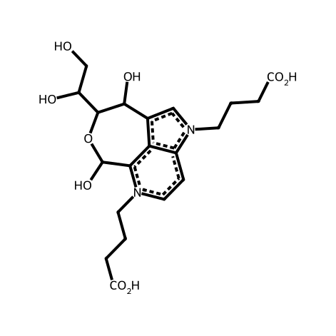 O=C(O)CCCn1cc2c3c([n+](CCCC(=O)O)ccc31)C(O)OC(C(O)CO)C2O